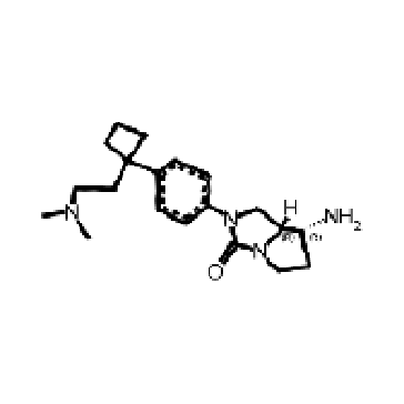 CN(C)CCC1(c2ccc(N3C[C@@H]4[C@H](N)CCN4C3=O)cc2)CCC1